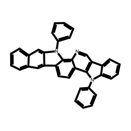 c1ccc(-n2c3ccccc3c3cnc4c(ccc5c6cc7ccccc7cc6n(-c6ccccc6)c54)c32)cc1